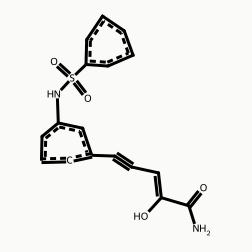 NC(=O)C(O)=CC#Cc1cccc(NS(=O)(=O)c2ccccc2)c1